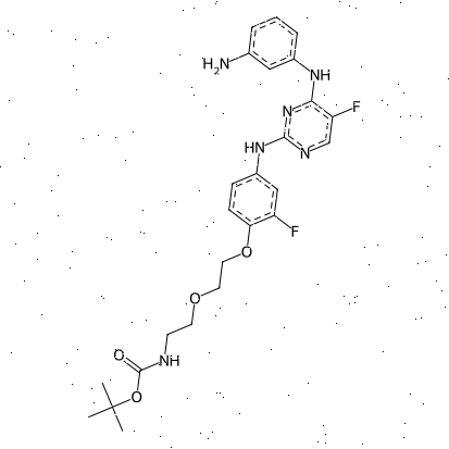 CC(C)(C)OC(=O)NCCOCCOc1ccc(Nc2ncc(F)c(Nc3cccc(N)c3)n2)cc1F